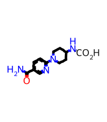 NC(=O)c1ccc(N2CCC(NC(=O)O)CC2)nc1